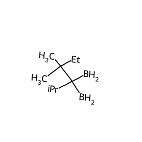 BC(B)(C(C)C)C(C)(C)CC